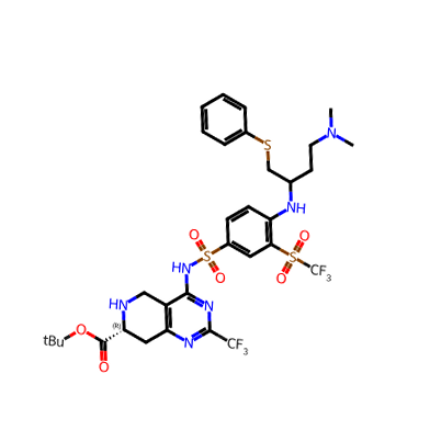 CN(C)CCC(CSc1ccccc1)Nc1ccc(S(=O)(=O)Nc2nc(C(F)(F)F)nc3c2CN[C@@H](C(=O)OC(C)(C)C)C3)cc1S(=O)(=O)C(F)(F)F